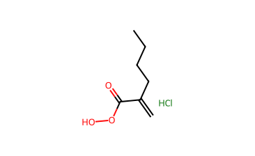 C=C(CCCC)C(=O)OO.Cl